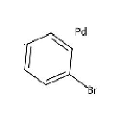 Brc1cc[c]cc1.[Pd]